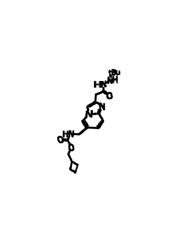 CC(C)(C)NNC(=O)Cc1cn2cc(CNC(=O)OCC3CCC3)ccc2n1